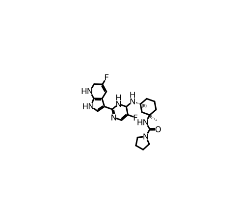 C[C@@]1(NC(=O)N2CCCC2)CCC[C@@H](NC2NC(c3c[nH]c4c3C=C(F)CN4)=NC=C2F)C1